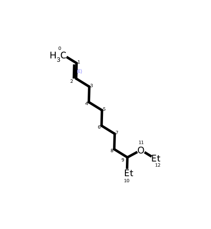 C/C=C/CCCCCCC(CC)OCC